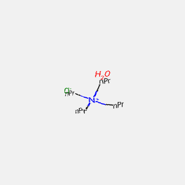 CCC[N+](CCC)(CCC)CCC.O.[Cl-]